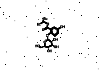 CCC(OC(=O)c1cc(O)ccc1O[C@@H]1O[C@H](CO)[C@@H](O)[C@H](O)[C@H]1O)C(C)(C)C